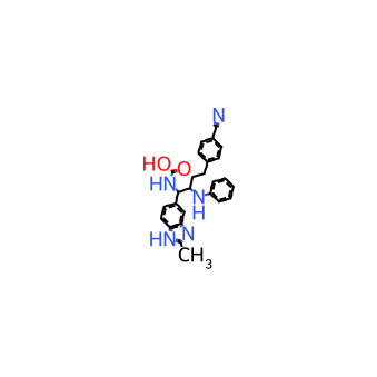 Cc1nc2cc(C(NC(=O)O)C(CCc3ccc(C#N)cc3)Nc3ccccc3)ccc2[nH]1